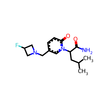 CC(C)CC(C(N)=O)n1cc(CN2CC(F)C2)ccc1=O